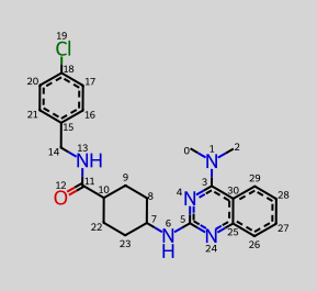 CN(C)c1nc(NC2CCC(C(=O)NCc3ccc(Cl)cc3)CC2)nc2ccccc12